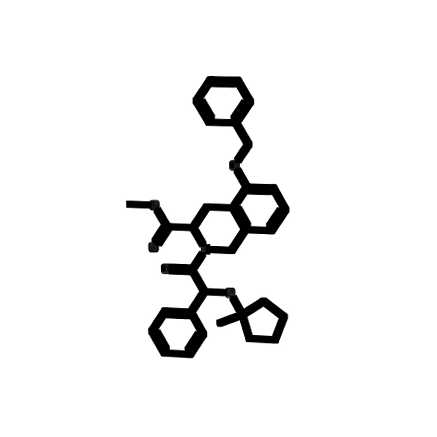 COC(=O)C1Cc2c(cccc2OCc2ccccc2)CN1C(=O)C(OC1(C)CCCC1)c1ccccc1